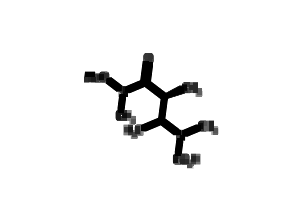 CON(C)C(=O)[C@@H](C)C(C)N(C)C(=O)O